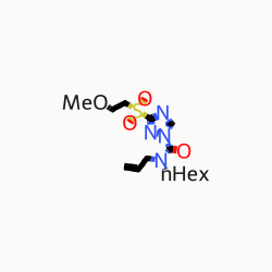 C=CCN(CCCCCC)C(=O)n1cnc(S(=O)(=O)CCOC)n1